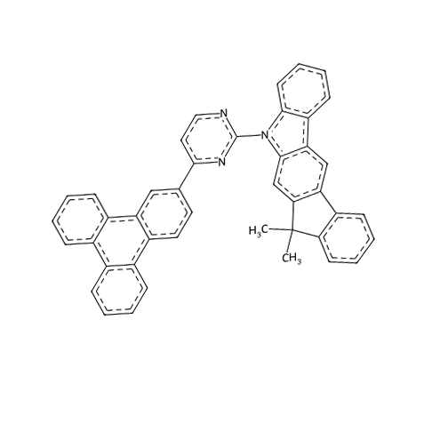 CC1(C)c2ccccc2-c2cc3c4ccccc4n(-c4nccc(-c5ccc6c7ccccc7c7ccccc7c6c5)n4)c3cc21